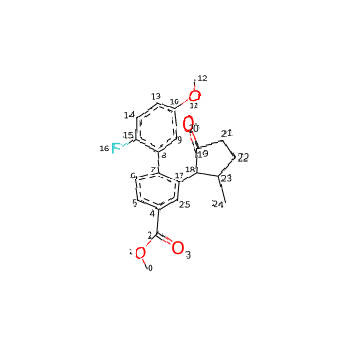 COC(=O)c1ccc(-c2cc(OC)ccc2F)c(C2C(=O)CCC2C)c1